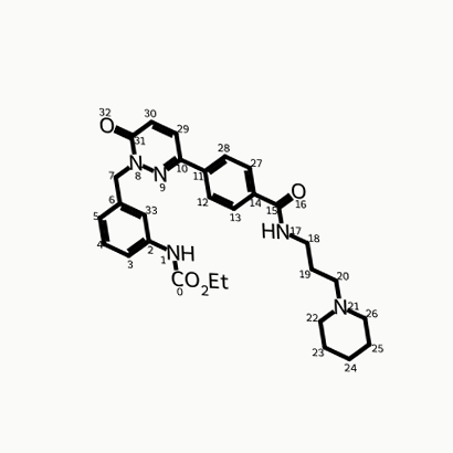 CCOC(=O)Nc1cccc(Cn2nc(-c3ccc(C(=O)NCCCN4CCCCC4)cc3)ccc2=O)c1